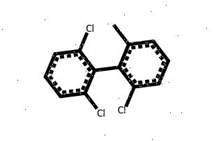 Cc1cc[c]c(Cl)c1-c1c(Cl)cccc1Cl